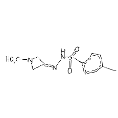 Cc1ccc(S(=O)(=O)NN=C2CN(C(=O)O)C2)cc1